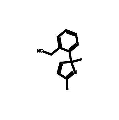 CC1=NC(C)(c2ccccc2CC#N)C=C1